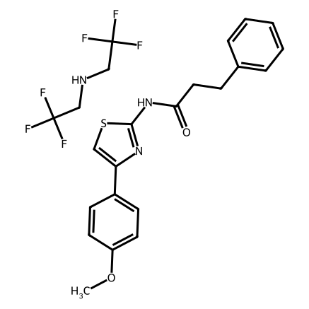 COc1ccc(-c2csc(NC(=O)CCc3ccccc3)n2)cc1.FC(F)(F)CNCC(F)(F)F